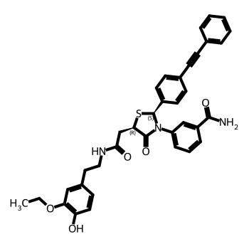 CCOc1cc(CCNC(=O)C[C@H]2S[C@@H](c3ccc(C#Cc4ccccc4)cc3)N(c3cccc(C(N)=O)c3)C2=O)ccc1O